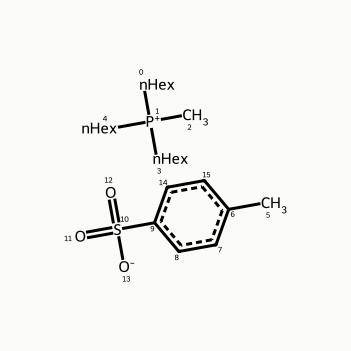 CCCCCC[P+](C)(CCCCCC)CCCCCC.Cc1ccc(S(=O)(=O)[O-])cc1